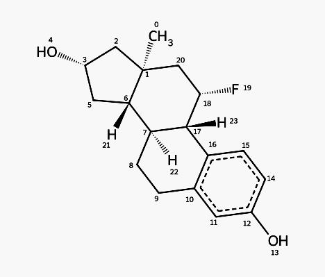 C[C@@]12C[C@@H](O)C[C@H]1[C@@H]1CCc3cc(O)ccc3[C@H]1[C@@H](F)C2